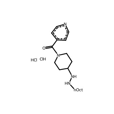 CCCCCCCCNNC1CCN(C(=O)c2ccncc2)CC1.Cl.Cl